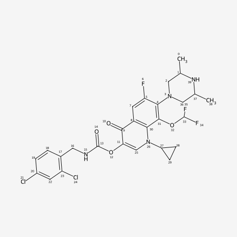 CC1CN(c2c(F)cc3c(=O)c(OC(=O)NCc4ccc(Cl)cc4Cl)cn(C4CC4)c3c2OC(F)F)CC(C)N1